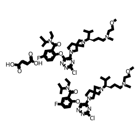 CCN(C(=O)c1cc(F)ccc1Oc1nnc(Cl)nc1N1CCC2(C1)CN([C@H](CCCN(C)CCOC)C(C)C)C2)C(C)C.CCN(C(=O)c1cc(F)ccc1Oc1nnc(Cl)nc1N1CCC2(C1)CN([C@H](CCCN(C)CCOC)C(C)C)C2)C(C)C.O=C(O)/C=C/C(=O)O